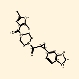 Cc1cc(C(=O)N2CCN(C(=O)C3CC3c3ccc4c(c3)OCO4)CC2)c(C)o1